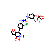 CC1(Oc2ccc(NC(=O)Nc3ccc(C4=CNC(O)c5ccoc54)cc3F)cc2C(F)(F)F)COC1